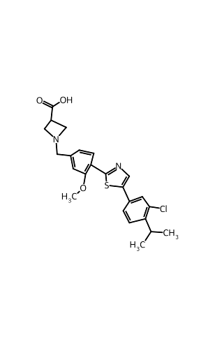 COc1cc(CN2CC(C(=O)O)C2)ccc1-c1ncc(-c2ccc(C(C)C)c(Cl)c2)s1